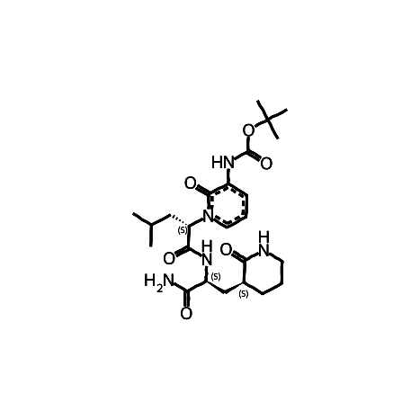 CC(C)C[C@@H](C(=O)N[C@@H](C[C@@H]1CCCNC1=O)C(N)=O)n1cccc(NC(=O)OC(C)(C)C)c1=O